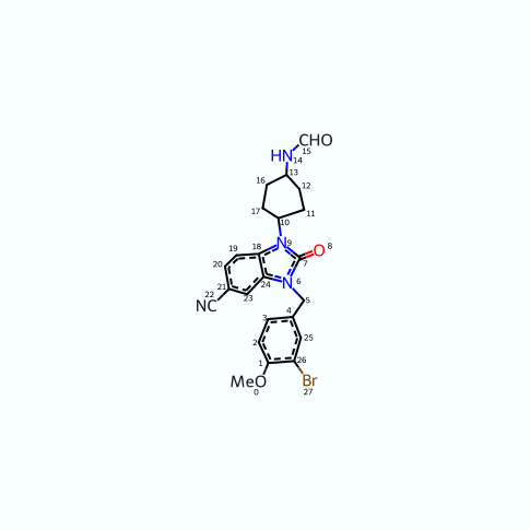 COc1ccc(Cn2c(=O)n(C3CCC(NC=O)CC3)c3ccc(C#N)cc32)cc1Br